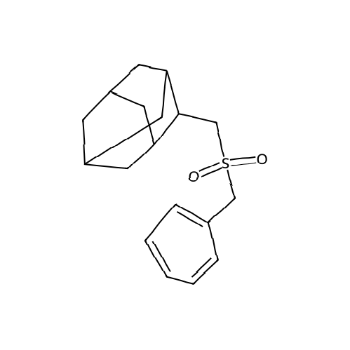 O=S(=O)(Cc1ccccc1)CC1C2CC3CC(C2)CC1C3